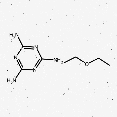 CCOCC.Nc1nc(N)nc(N)n1